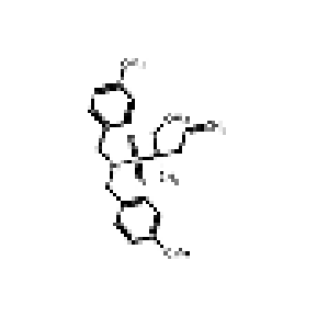 C=CC[C@](C)(COC)S(=O)(=O)N(Cc1ccc(OC)cc1)Cc1ccc(OC)cc1